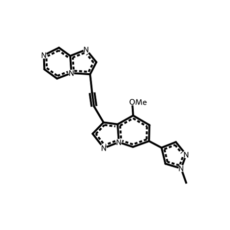 COc1cc(-c2cnn(C)c2)cn2ncc(C#Cc3cnc4cnccn34)c12